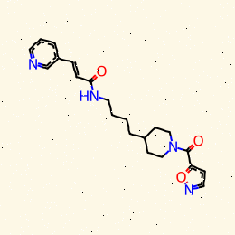 O=C(/C=C/c1cccnc1)NCCCCC1CCN(C(=O)c2ccno2)CC1